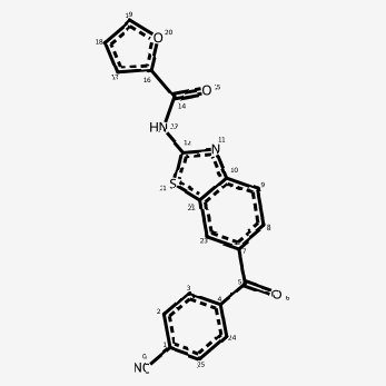 N#Cc1ccc(C(=O)c2ccc3nc(NC(=O)c4ccco4)sc3c2)cc1